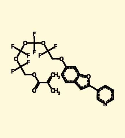 C=C(C)C(=O)OCC(F)(F)OC(F)(F)OC(F)(F)OC(F)(F)COc1ccc2cc(-c3cccnc3)oc2c1